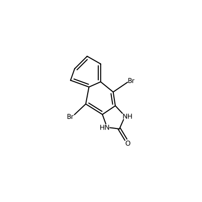 O=c1[nH]c2c(Br)c3ccccc3c(Br)c2[nH]1